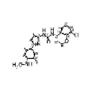 CNc1ccc(-n2ccc(NC(=O)N[C@H]3CCOc4c(Cl)cccc43)n2)cc1F